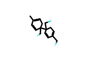 [CH2]C1=CCC(CF)(C2(CF)C=CC(CF)=CC2)C=C1